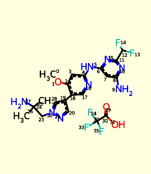 COc1cc(Nc2cc(N)nc(C(F)F)n2)ncc1-c1cnn(CC(C)(C)N)c1.O=C(O)C(F)(F)F